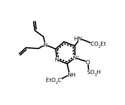 C=CCN(CC=C)c1cc(NC(=O)OCC)[n+](OS(=O)(=O)O)c(NC(=O)OCC)n1